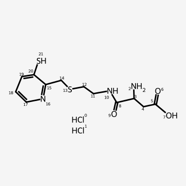 Cl.Cl.NC(CC(=O)O)C(=O)NCCSCc1ncccc1S